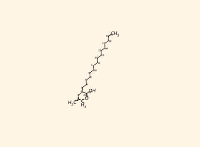 C=C(C)CC(CCCCCCCCCCCCCCCC)C(=O)O